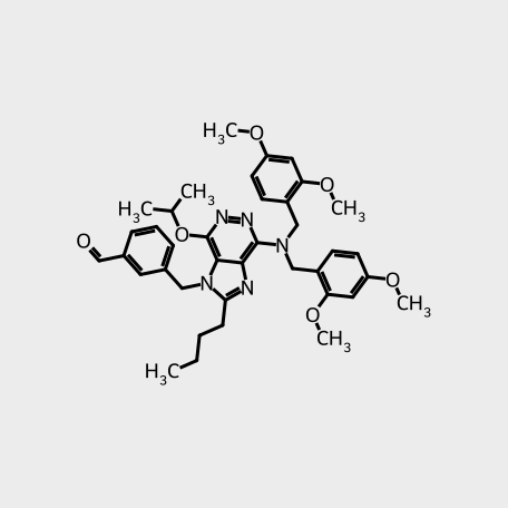 CCCCc1nc2c(N(Cc3ccc(OC)cc3OC)Cc3ccc(OC)cc3OC)nnc(OC(C)C)c2n1Cc1cccc(C=O)c1